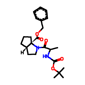 CC(NC(=O)OC(C)(C)C)C(=O)N1CC[C@H]2CCC[C@]21C(=O)OCc1ccccc1